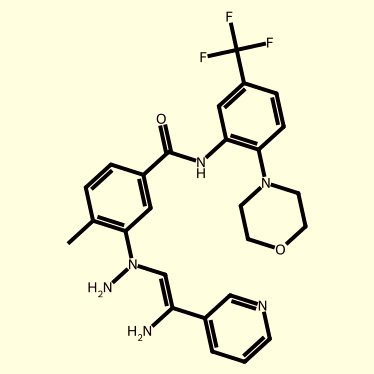 Cc1ccc(C(=O)Nc2cc(C(F)(F)F)ccc2N2CCOCC2)cc1N(N)/C=C(\N)c1cccnc1